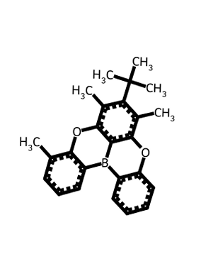 Cc1cccc2c1Oc1c(C)c(C(C)(C)C)c(C)c3c1B2c1ccccc1O3